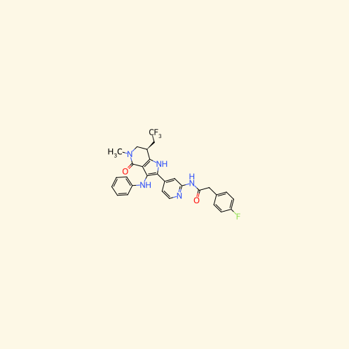 CN1C[C@@H](CC(F)(F)F)c2[nH]c(-c3ccnc(NC(=O)Cc4ccc(F)cc4)c3)c(Nc3ccccc3)c2C1=O